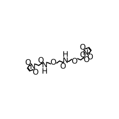 O=C(CCOCCNC(=O)CCN1C(=O)C=CC1=O)NCCOCCC(=O)ON1C(=O)C=CC1=O